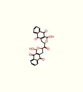 O=C1C2=C(C(=O)c3ccccc31)C(O)OC(C(=O)C1CC3=C(C(=O)c4ccccc4C3=O)C(O)O1)C2